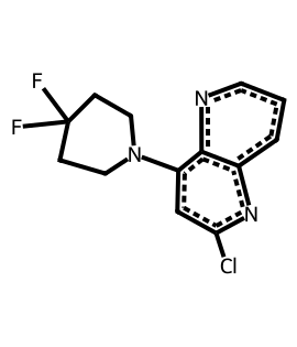 FC1(F)CCN(c2cc(Cl)nc3cccnc23)CC1